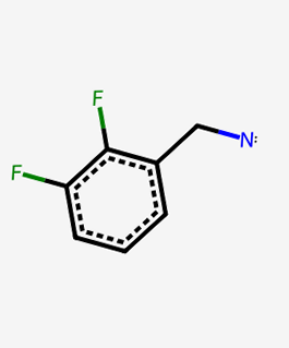 [N]Cc1cccc(F)c1F